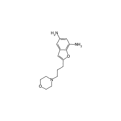 Nc1cc(N)c2oc(CCCN3CCOCC3)cc2c1